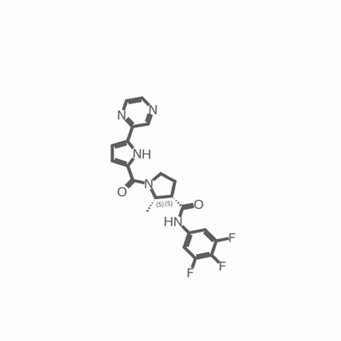 C[C@H]1[C@@H](C(=O)Nc2cc(F)c(F)c(F)c2)CCN1C(=O)c1ccc(-c2cnccn2)[nH]1